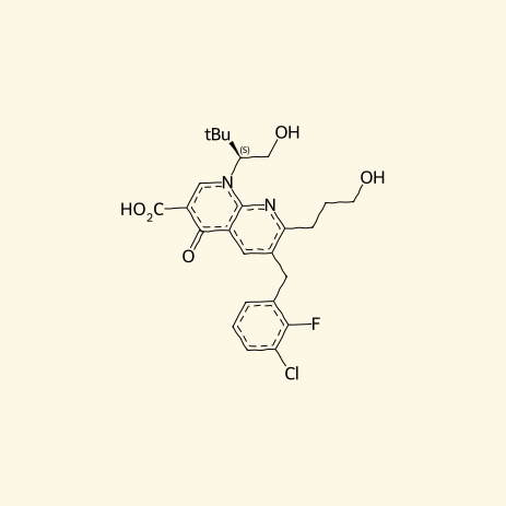 CC(C)(C)[C@@H](CO)n1cc(C(=O)O)c(=O)c2cc(Cc3cccc(Cl)c3F)c(CCCO)nc21